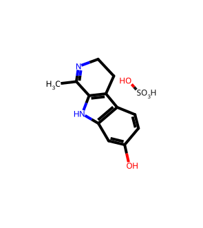 CC1=NCCc2c1[nH]c1cc(O)ccc21.O=S(=O)(O)O